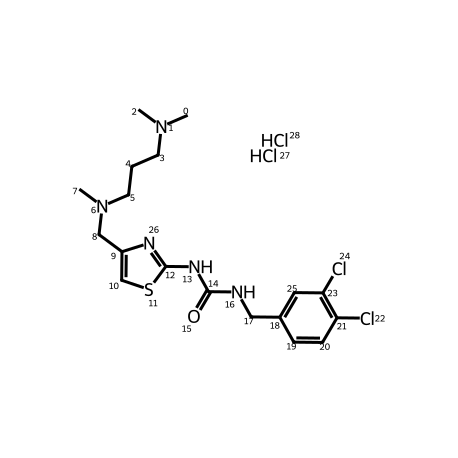 CN(C)CCCN(C)Cc1csc(NC(=O)NCc2ccc(Cl)c(Cl)c2)n1.Cl.Cl